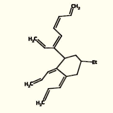 C=C/C=C\C=C(/C=C)C1CC(CC)CC(=C/C=C)/C1=C\C=C